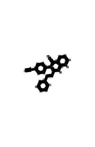 C#Cc1ccc(-n2c(/C=C/c3ccccc3)nc3ncccc3c2=O)cc1